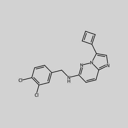 Clc1ccc(CNc2ccc3ncc(C4=CC=C4)n3n2)cc1Cl